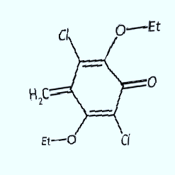 C=C1C(Cl)=C(OCC)C(=O)C(Cl)=C1OCC